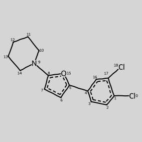 Clc1ccc(-c2ccc(N3CCCCC3)o2)cc1Cl